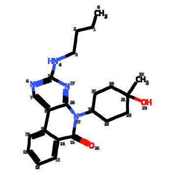 CCCCNc1ncc2c3ccccc3c(=O)n(C3CCC(C)(O)CC3)c2n1